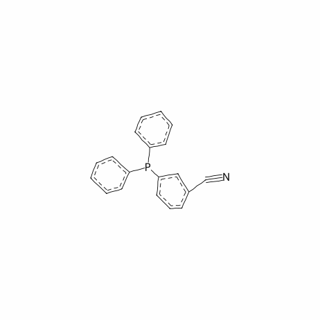 N#Cc1cccc(P(c2ccccc2)c2ccccc2)c1